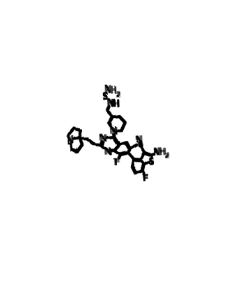 Cc1cc2c(N3CCCC(CNSN)C3)nc(CCC34CCCN3CCC4)nc2c(F)c1-c1ccc(F)c2sc(N)c(C#N)c12